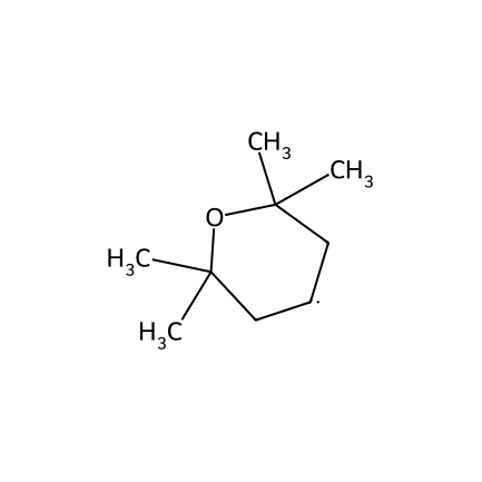 CC1(C)C[CH]CC(C)(C)O1